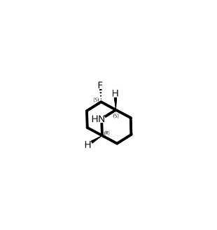 F[C@H]1CC[C@H]2CCC[C@@H]1N2